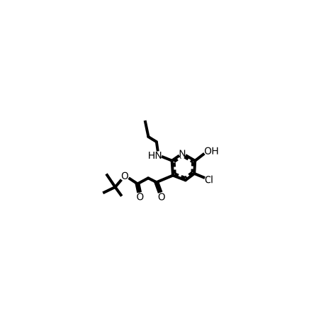 CCCNc1nc(O)c(Cl)cc1C(=O)CC(=O)OC(C)(C)C